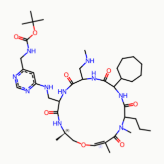 CCCC1C(=O)NC(C2CCCCCC2)C(=O)NC(CNC)C(=O)NC(CNc2cc(CNC(=O)OC(C)(C)C)ncn2)C(=O)N[C@H](C)CO/C=C(/C)C(=O)N1C